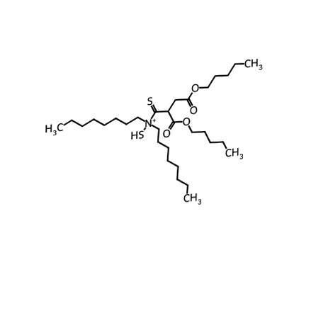 CCCCCCCC[N+](S)(CCCCCCCC)C(=S)C(CC(=O)OCCCCC)C(=O)OCCCCC